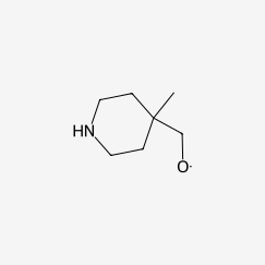 CC1(C[O])CCNCC1